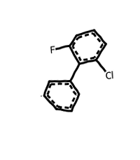 Fc1cccc(Cl)c1-c1c[c]ccc1